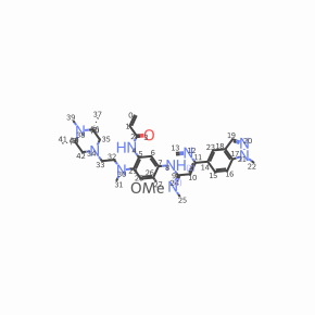 C=CC(=O)Nc1cc(NC(/C=C(\N=C)c2ccc3c(cnn3C)c2)=N/C)c(OC)cc1N(C)CCN1C[C@@H](C)N(C)[C@@H](C)C1